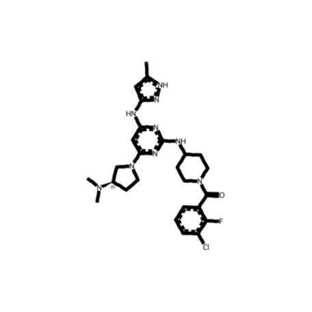 Cc1cc(Nc2cc(N3CC[C@@H](N(C)C)C3)nc(NC3CCN(C(=O)c4cccc(Cl)c4F)CC3)n2)n[nH]1